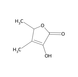 CC1=C(O)C(=O)OC1C